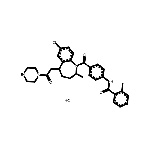 Cc1ccccc1C(=O)Nc1ccc(C(=O)N2c3ccc(Cl)cc3C(CC(=O)N3CCNCC3)CCC2C)cc1.Cl